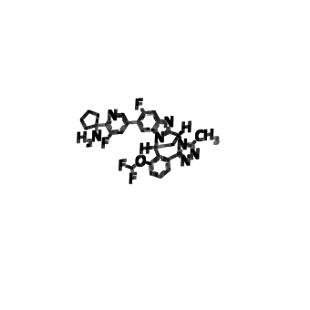 Cc1nnc2n1[C@@H]1C[C@H](c3c(OC(F)F)cccc3-2)n2c1nc1cc(F)c(-c3cnc(C4(N)CCCC4)c(F)c3)cc12